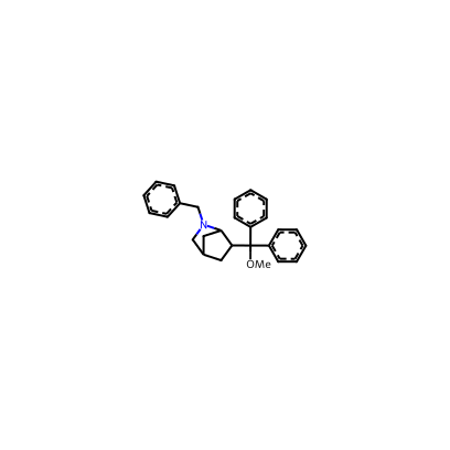 COC(c1ccccc1)(c1ccccc1)C1CC2CC1N(Cc1ccccc1)C2